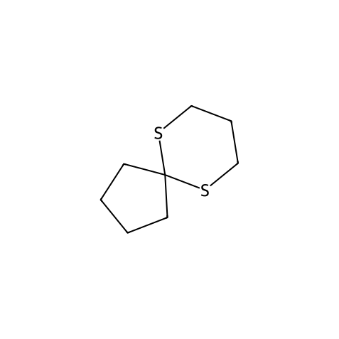 C1CSC2(CCCC2)SC1